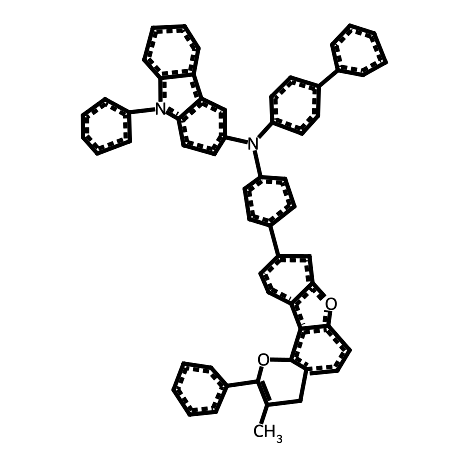 CC1=C(c2ccccc2)Oc2c(ccc3oc4cc(-c5ccc(N(c6ccc(-c7ccccc7)cc6)c6ccc7c(c6)c6ccccc6n7-c6ccccc6)cc5)ccc4c23)C1